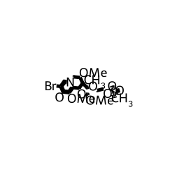 COCOC1c2c(OC)c(=O)c(Br)cn2CC(OC)C1(C)COCCOS(C)(=O)=O